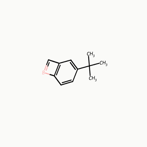 CC(C)(C)c1ccc2c(c1)C=B2